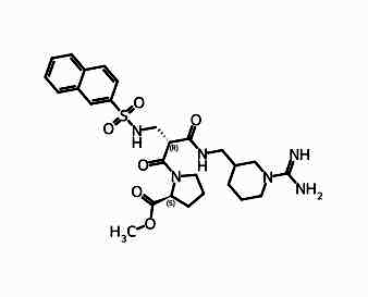 COC(=O)[C@@H]1CCCN1C(=O)[C@H](CNS(=O)(=O)c1ccc2ccccc2c1)C(=O)NCC1CCCN(C(=N)N)C1